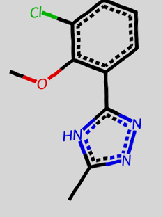 COc1c(Cl)cccc1-c1nnc(C)[nH]1